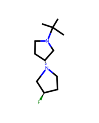 CC(C)(C)N1CC[C@@H](N2CC[C@@H](F)C2)C1